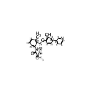 Cc1cc(-c2cccnc2)ccc1OCc1c(C)cccc1-n1nnn(C)c1=O